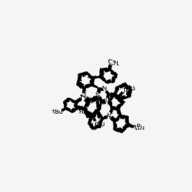 CC(C)(C)c1ccc2c(c1)c1cc(C(C)(C)C)ccc1n2-c1cccc(C#N)c1-c1nc(-c2ccccc2)nc(-c2c(-c3cccc(C#N)c3)cccc2-n2c3ccc(C(C)(C)C)cc3c3cc(C(C)(C)C)ccc32)n1